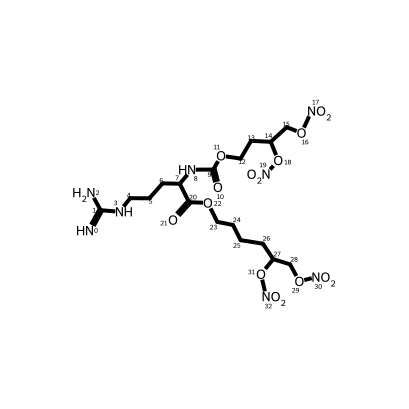 N=C(N)NCCCC(NC(=O)OCCC(CO[N+](=O)[O-])O[N+](=O)[O-])C(=O)OCCCCC(CO[N+](=O)[O-])O[N+](=O)[O-]